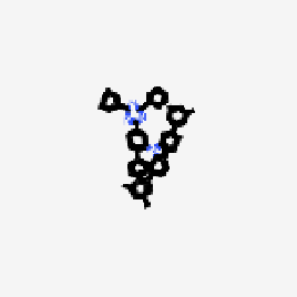 Cc1cc(C)cc(-c2ccc3c4ccc(-c5cc(C)cc(C)c5)cc4n(-c4cc(-c5nc(-c6ccccc6)nc(-c6ccccc6)n5)ccc4-c4ccc(C(F)(F)F)cc4)c3c2)c1